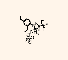 CCc1ccc(-n2nc(C(F)(F)F)nc2N)c(CC)c1.O=S(=O)(Cl)Cl